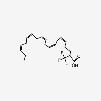 CC/C=C\C/C=C\C/C=C\C/C=C\C/C=C\CCC(C(=O)O)C(F)(F)F